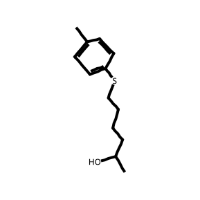 Cc1ccc(SCCCCC(C)O)cc1